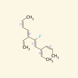 C=CC(=C\C=C/C)/C(F)=C/C(/C=C\C)=C/C